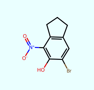 O=[N+]([O-])c1c(O)c(Br)cc2c1CCC2